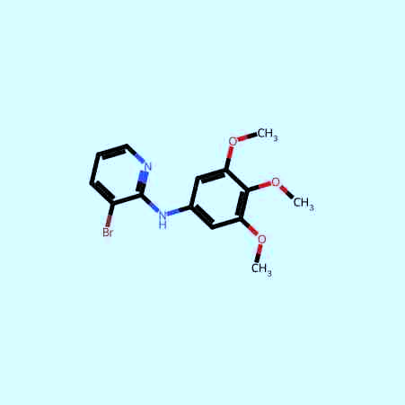 COc1cc(Nc2ncccc2Br)cc(OC)c1OC